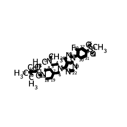 CN(C)CCN(CC1CCN(OC(=O)C(C)(C)C)CC1)c1ncnc2c1cnn2-c1ccc(S(C)(=O)=O)cc1F